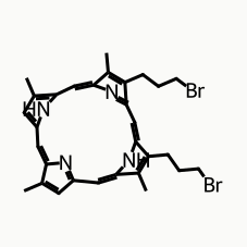 CC1=Cc2cc3[nH]c(cc4nc(cc5[nH]c(cc1n2)cc5C)C(C)=C4CCCBr)c(CCCBr)c3C